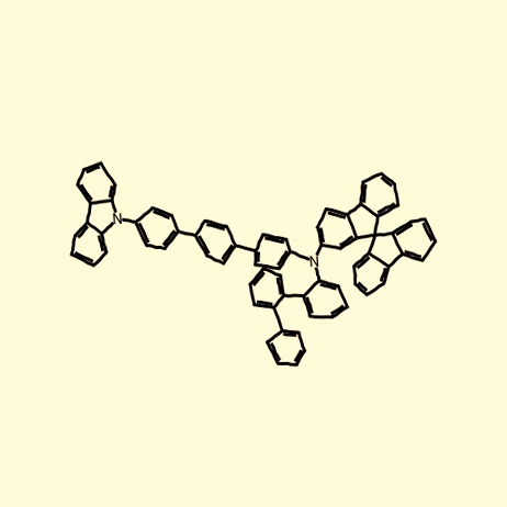 c1ccc(-c2ccccc2-c2ccccc2N(c2ccc(-c3ccc(-c4ccc(-n5c6ccccc6c6ccccc65)cc4)cc3)cc2)c2ccc3c(c2)C2(c4ccccc4-c4ccccc42)c2ccccc2-3)cc1